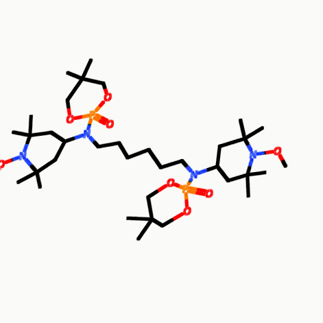 CON1C(C)(C)CC(N(CCCCCCN(C2CC(C)(C)N(OC)C(C)(C)C2)P2(=O)OCC(C)(C)CO2)P2(=O)OCC(C)(C)CO2)CC1(C)C